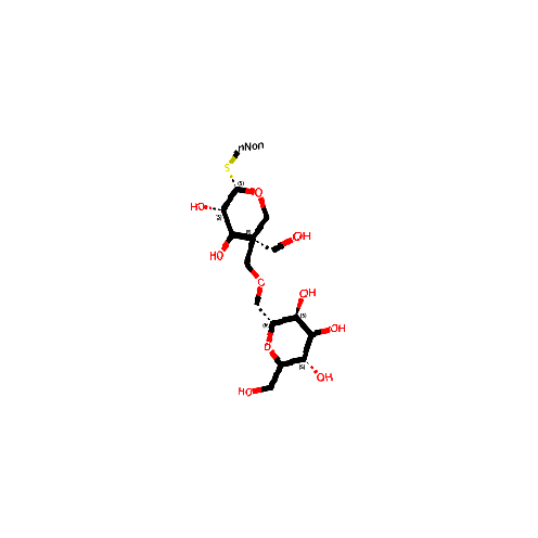 CCCCCCCCCS[C@@H]1OC[C@@](CO)(COC[C@H]2OC(CO)[C@@H](O)C(O)[C@@H]2O)C(O)[C@@H]1O